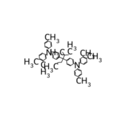 CCCC(c1ccc(N(c2ccc(C)cc2)c2ccc(C)c(C)c2)cc1)(c1ccc(N(c2ccc(C)cc2)c2ccc(C)c(C)c2)cc1)C(C)CC